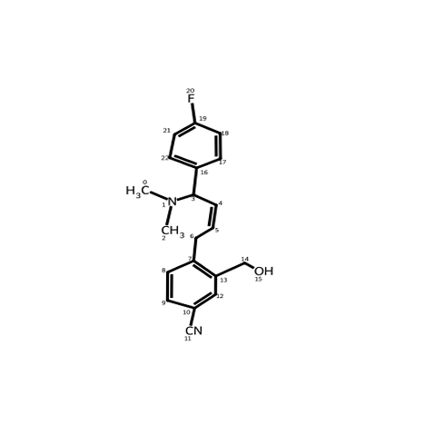 CN(C)C(/C=C\Cc1ccc(C#N)cc1CO)c1ccc(F)cc1